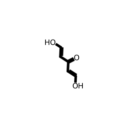 O=C(C=CO)C=CO